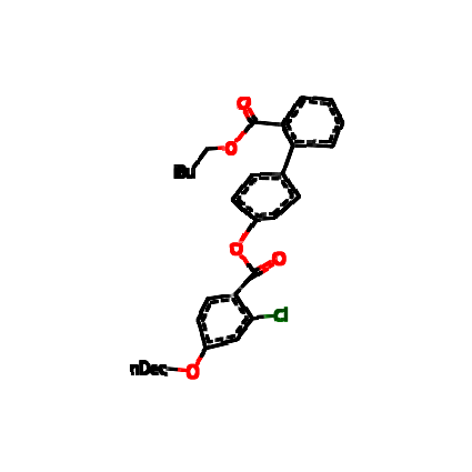 CCCCCCCCCCOc1ccc(C(=O)Oc2ccc(-c3ccccc3C(=O)OCC(C)CC)cc2)c(Cl)c1